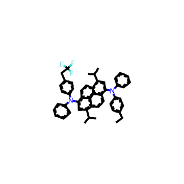 CCc1ccc(N(c2ccccc2)c2cc(C(C)C)c3ccc4c(N(c5ccccc5)c5ccc(CC(F)(F)F)cc5)cc(C(C)C)c5ccc2c3c54)cc1